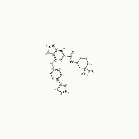 CC1(C)CC(NC(=O)c2cc(Cc3ccc(-c4cncs4)cc3)c3sccc3n2)CCO1